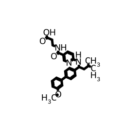 COc1cccc(-c2ccc(C(CC(C)C)Nc3ccc(C(=O)NCCC(=O)O)cn3)cc2)c1